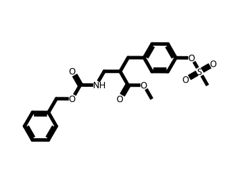 COC(=O)C(CNC(=O)OCc1ccccc1)Cc1ccc(OS(C)(=O)=O)cc1